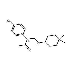 CC(=O)[C@H](CNC1CCC(C)(C)CC1)c1ccc(Cl)cc1